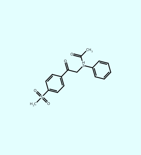 CC(=O)[SH](CC(=O)c1ccc(S(C)(=O)=O)cc1)c1ccccc1